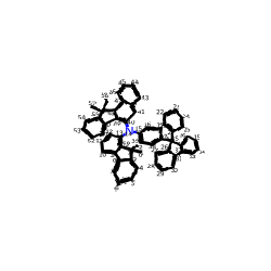 CC1(C)c2ccccc2-c2cccc(N(c3ccc(C4(c5ccccc5)c5ccccc5-c5ccccc54)cc3)c3cc4ccccc4c4c3-c3ccccc3C4(C)C)c21